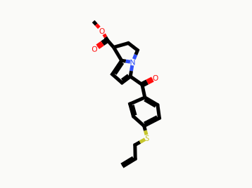 C=CCSc1ccc(C(=O)c2ccc3n2CCC3C(=O)OC)cc1